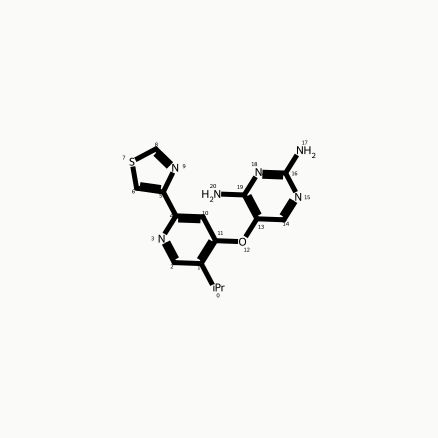 CC(C)c1cnc(-c2cscn2)cc1Oc1cnc(N)nc1N